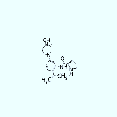 CC(C)c1ccc(N2CCN(C)CC2)cc1NC(=O)c1ccc[nH]1